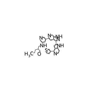 CCCC(C=O)CNc1cncc(-c2cc3c(-c4cc5c(-c6ccsc6)nccc5[nH]4)n[nH]c3cn2)c1